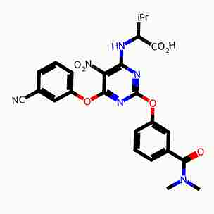 CC(C)C(Nc1nc(Oc2cccc(C(=O)N(C)C)c2)nc(Oc2cccc(C#N)c2)c1[N+](=O)[O-])C(=O)O